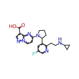 O=C(O)c1cnn2ccc(N3CCCC3c3cc(F)cnc3CCNC3CC3)nc12